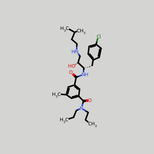 CCCN(CCC)C(=O)c1cc(C)cc(C(=O)N[C@@H](Cc2ccc(Cl)cc2)[C@H](O)CNCCC(C)C)c1